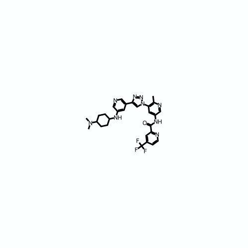 Cc1ncc(NC(=O)c2cc(C(F)(F)F)ccn2)cc1-n1cc(-c2cncc(NC3CCC(N(C)C)CC3)c2)nn1